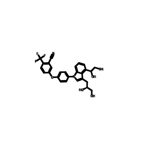 N#Cc1cc(Oc2ccc(-n3cc(C[C@H](O)CO)c4c(C(O)CO)cccc43)cc2)ccc1C(F)(F)F